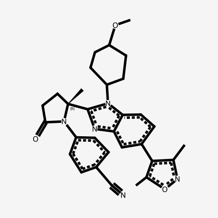 COC1CCC(n2c([C@@]3(C)CCC(=O)N3c3ccc(C#N)cc3)nc3cc(-c4c(C)noc4C)ccc32)CC1